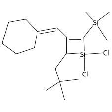 CC(C)(C)CC1C(C=C2CCCCC2)=C([Si](C)(C)C)[Si]1(Cl)Cl